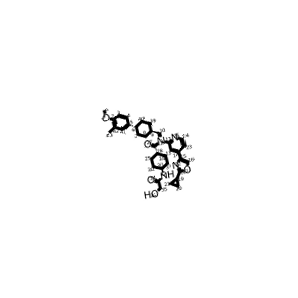 COc1ccc([C@H]2CC[C@H](CN(c3cc(-c4coc(C5CC5)n4)ccn3)C(=O)[C@H]3CC[C@H](NC(=O)CO)CC3)CC2)cc1C